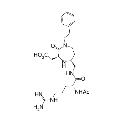 CC(=O)N[C@H](CCCNC(=N)N)C(=O)NC[C@@H]1CCN(CCc2ccccc2)C(=O)[C@H](CC(=O)O)N1